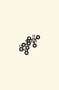 C1=CC2Oc3ccc(-c4cccc5c6c(oc45)=CCCC=6C4NC(c5ccccc5)=NC(c5ccccc5)N4)cc3C2C(n2c3ccccc3c3ccccc32)=C1